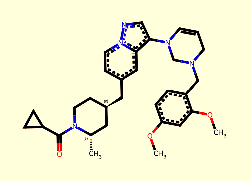 COc1ccc(CN2CC=CN(c3cnn4ccc(C[C@@H]5CCN(C(=O)C6CC6)[C@@H](C)C5)cc34)C2)c(OC)c1